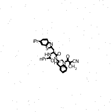 C=C(C#N)C(=O)NC[C@H](Cc1ccccc1)NC(=O)[C@H](Cc1nc2ccc(C(C)C)cc2s1)NC(=O)CCC